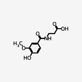 COc1cc(C(=O)NCCC(=O)O)ccc1O